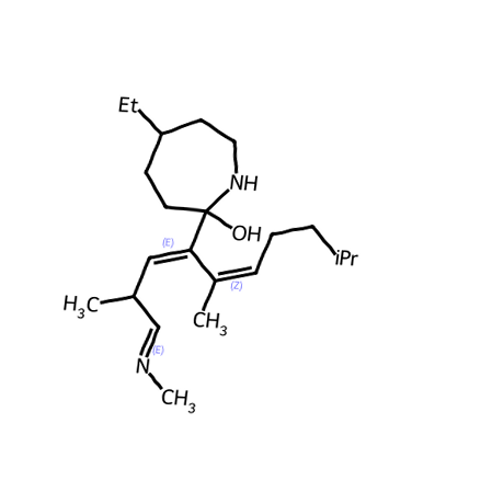 CCC1CCNC(O)(C(=C/C(C)/C=N/C)/C(C)=C\CCC(C)C)CC1